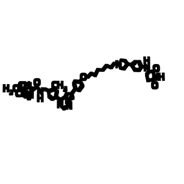 Cc1cc(-c2ncnn3cc(-c4ccc(OCCCCCCCCN5CCC(c6ccc(NC7CCC(=O)NC7=O)cc6)CC5)cc4)cc23)ccc1CNC(=O)c1noc(C(C)(C)C)n1